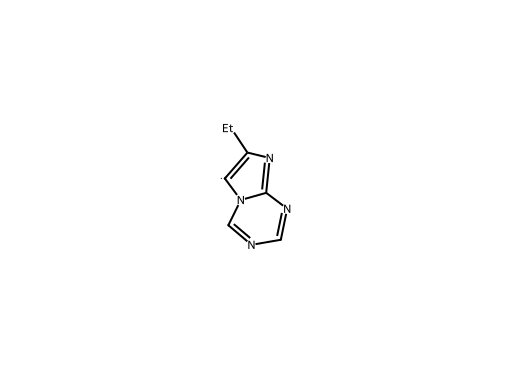 CCc1[c]n2cncnc2n1